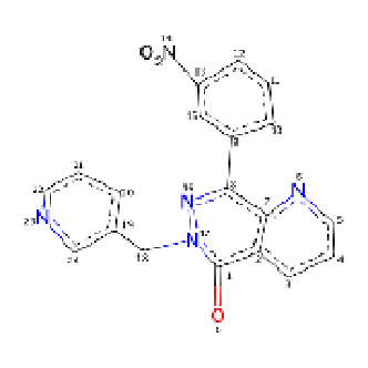 O=c1c2cccnc2c(-c2cccc([N+](=O)[O-])c2)nn1Cc1cccnc1